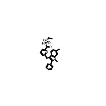 CCS(=O)(=O)NC(=O)c1cccc(Cc2c(-c3ccccc3)n(C)c3cc(C)ccc23)n1